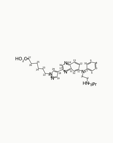 CC(C)NCCN(c1ccccc1)c1ccc2ncc(-c3cnn(CCCCCCC(=O)O)c3)nc2c1